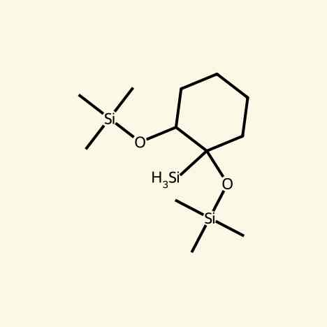 C[Si](C)(C)OC1CCCCC1([SiH3])O[Si](C)(C)C